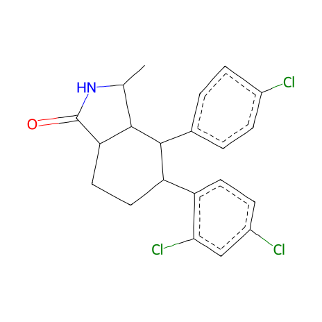 CC1NC(=O)C2CCC(c3ccc(Cl)cc3Cl)C(c3ccc(Cl)cc3)C12